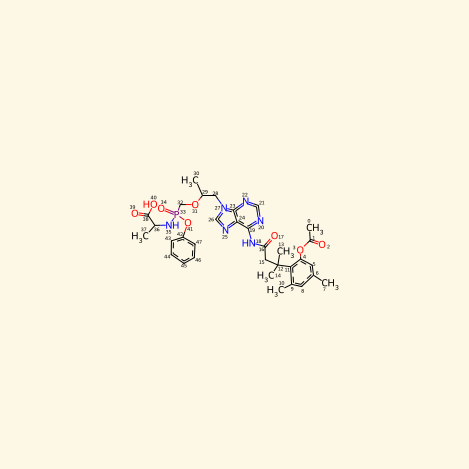 CC(=O)Oc1cc(C)cc(C)c1C(C)(C)CC(=O)Nc1ncnc2c1ncn2CC(C)OCP(=O)(NC(C)C(=O)O)Oc1ccccc1